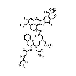 CC[C@@]1(O)C(=O)OCc2c1cc1n(c2=O)Cc2c-1nc1cc(F)c(C)c3c1c2[C@@H](NC(=O)CN(CCN(CC(N)=O)C(=O)[C@H](Cc1ccccc1)NC(=O)CNC(=O)CN)CC(=O)O)CC3